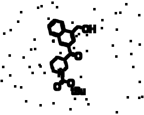 CC(C)(C)OC(=O)N1CCCC(C(=O)c2cc(CO)c3ccccc3c2)C1